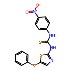 O=[N+]([O-])c1ccc(NC(=S)Nc2ncc(Sc3ccccc3)s2)cc1